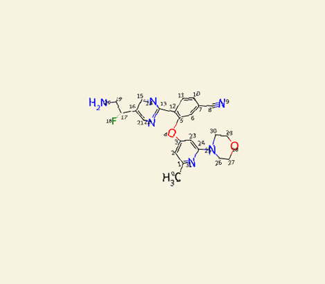 Cc1cc(Oc2cc(C#N)ccc2-c2ncc([C@H](F)CN)cn2)cc(N2CCOCC2)n1